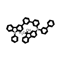 CC1(C)c2ccccc2-c2ccc(N(c3cccc(-c4ccccc4)c3)c3cccc(-c4cccc(-c5ccc6c(c5)c5ccccc5n6-c5ccccc5)c4)c3)cc21